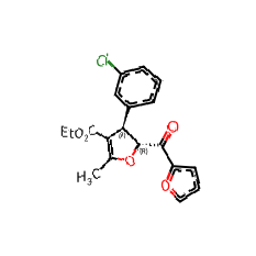 CCOC(=O)C1=C(C)O[C@@H](C(=O)c2ccco2)[C@@H]1c1cccc(Cl)c1